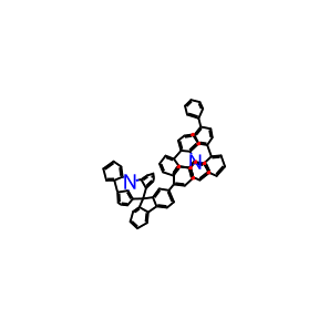 c1ccc(-c2ccc(-c3ccccc3N(c3ccc(-c4ccc5c(c4)C4(c6ccccc6-5)c5ccccc5-n5c6ccccc6c6cccc4c65)cc3)c3ccccc3-c3ccccc3-c3ccccc3)cc2)cc1